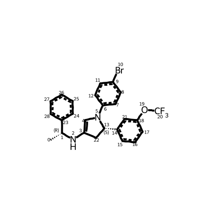 C[C@@H](NC1=CN(c2ccc(Br)cc2)[C@H](c2cccc(OC(F)(F)F)c2)C1)c1ccccc1